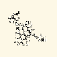 CN(c1nc(OC[C@@]23CCCN2C[C@H](F)C3)nc2c(F)c(-c3cccc4cccc(Cl)c34)ncc12)[C@@H]1CCN(C(=O)C#CC2CCNC2)C1